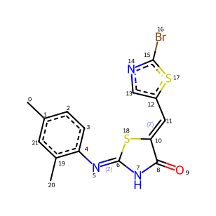 Cc1ccc(/N=C2/NC(=O)/C(=C/c3cnc(Br)s3)S2)c(C)c1